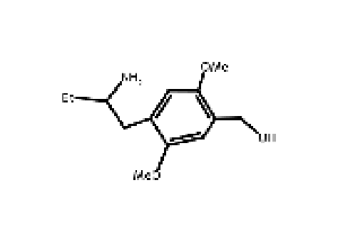 CCC(N)Cc1cc(OC)c(CO)cc1OC